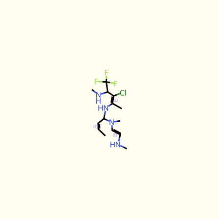 C/C=C\C(N/C(C)=C(/Cl)C(NC)C(F)(F)F)N(C)/C=C/NC